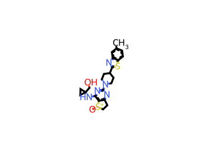 Cc1ccc2sc(C3CCN(c4nc5c(c(NC6(CO)CC6)n4)[S+]([O-])CC5)CC3)nc2c1